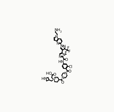 Cn1c(-c2cn(-c3ccc4c(ccn4CCN)n3)nc2C(F)(F)F)cnc1C(=O)Nc1ccc(C(=O)N2CCN(C(=O)C3CC[N+](CC(=O)O)(CC4CNC4)CC3)CC2)c(Cl)c1